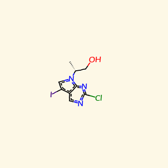 C[C@H](CO)n1cc(I)c2cnc(Cl)nc21